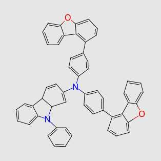 C1=CC2c3ccccc3N(c3ccccc3)C2C=C1N(c1ccc(-c2cccc3oc4ccccc4c23)cc1)c1ccc(-c2cccc3oc4ccccc4c23)cc1